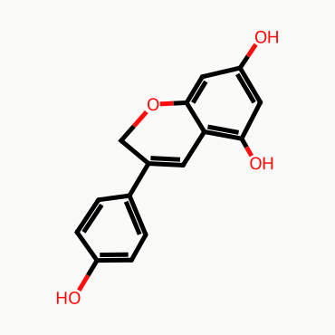 Oc1ccc(C2=Cc3c(O)cc(O)cc3OC2)cc1